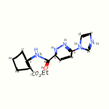 CCOC(=O)C1=C(NC(=O)c2ccc(-n3ccnc3)nn2)CCC1